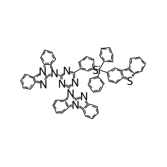 c1ccc([Si](c2ccccc2)(c2cccc(-c3nc(-n4c5ccccc5n5c6ccccc6nc45)nc(-n4c5ccccc5n5c6ccccc6nc45)n3)c2)c2ccc3sc4ccccc4c3c2)cc1